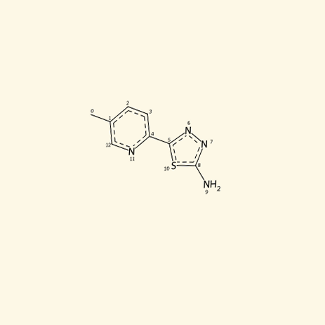 Cc1ccc(-c2nnc(N)s2)nc1